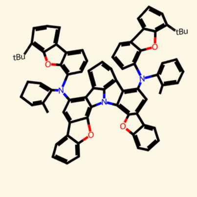 CC1=CCCC=C1N(c1cccc2c1oc1c(C(C)(C)C)cccc12)c1cc2c3ccccc3oc2c2c1c1cccc3c4c(N(c5ccccc5C)c5cccc6c5oc5c(C(C)(C)C)cccc56)cc5c6ccccc6oc5c4n2c13